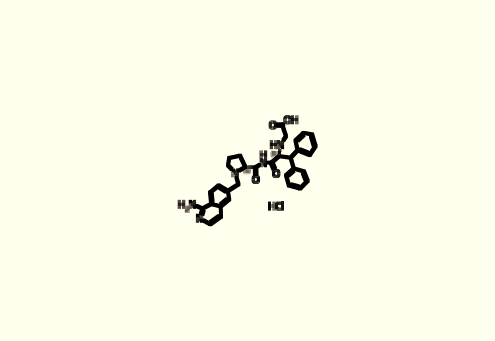 Cl.Nc1nccc2cc(CN3CCC[C@H]3C(=O)NC(=O)[C@H](NCC(=O)O)C(c3ccccc3)c3ccccc3)ccc12